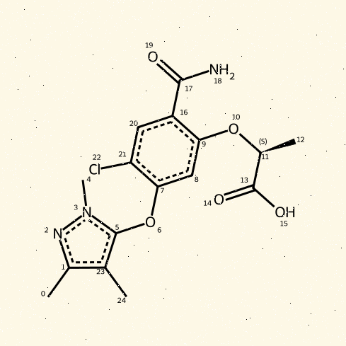 Cc1nn(C)c(Oc2cc(O[C@@H](C)C(=O)O)c(C(N)=O)cc2Cl)c1C